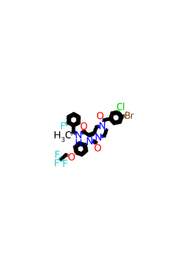 C[C@@H](NC(=O)c1c2n(c(=O)n1-c1ccc(OCC(F)(F)F)cc1)CCN(C(=O)c1ccc(Br)c(Cl)c1)C2)c1ccccc1F